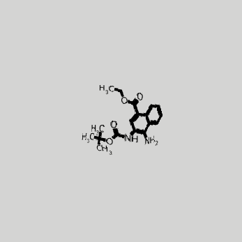 CCOC(=O)c1cc(NC(=O)OC(C)(C)C)c(N)c2ccccc12